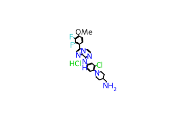 COc1ccc(-c2cnc3c(Nc4ccc(N5CCC(CN)CC5)c(Cl)c4)nccn23)c(F)c1F.Cl